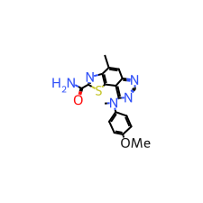 COc1ccc(N(C)c2ncnc3cc(C)c4nc(C(N)=O)sc4c23)cc1